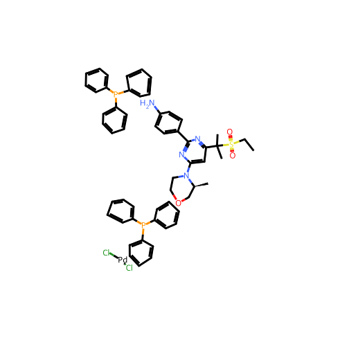 CCS(=O)(=O)C(C)(C)c1cc(N2CCOC[C@@H]2C)nc(-c2ccc(N)cc2)n1.[Cl][Pd][Cl].c1ccc(P(c2ccccc2)c2ccccc2)cc1.c1ccc(P(c2ccccc2)c2ccccc2)cc1